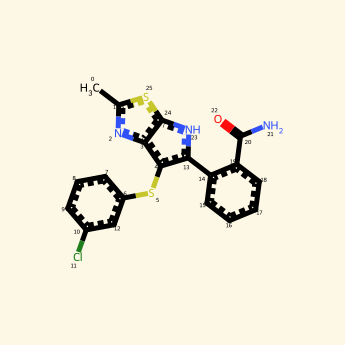 Cc1nc2c(Sc3cccc(Cl)c3)c(-c3ccccc3C(N)=O)[nH]c2s1